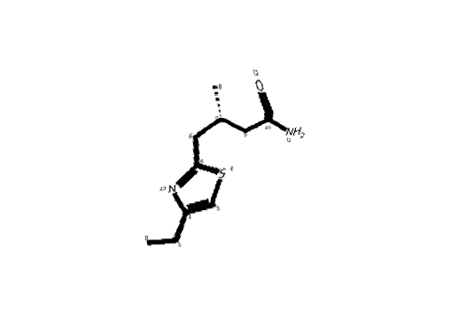 CCc1csc([CH][C@H](C)CC(N)=O)n1